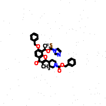 Cc1c(C2CCN(C(=O)OCc3ccccc3)CC2)oc2c(C(OC(=S)n3ccnc3)C(F)(F)F)c(OCc3ccccc3)ccc2c1=O